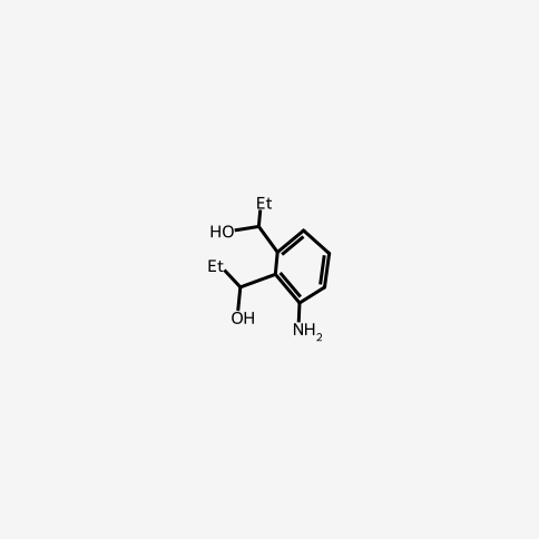 CCC(O)c1cccc(N)c1C(O)CC